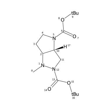 CN1C2CCN(C(=O)OC(C)(C)C)[C@@H]2CN1C(=O)OC(C)(C)C